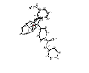 C=CCN1C2CCC1C1CCC2N1C(C1=CCC(C(=O)NC2CCCCC2)C=C1)c1cccc(OC)c1